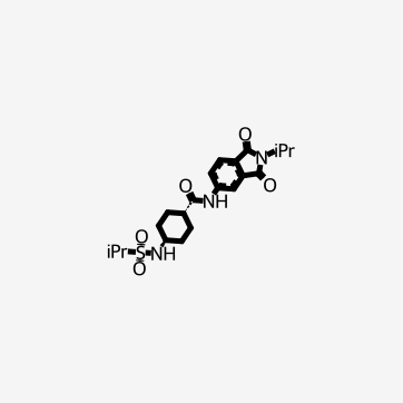 CC(C)N1C(=O)c2ccc(NC(=O)[C@H]3CC[C@H](NS(=O)(=O)C(C)C)CC3)cc2C1=O